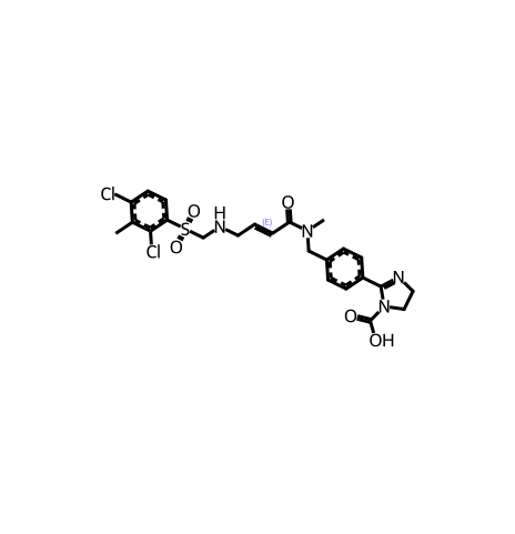 Cc1c(Cl)ccc(S(=O)(=O)CNC/C=C/C(=O)N(C)Cc2ccc(C3=NCCN3C(=O)O)cc2)c1Cl